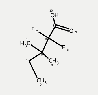 CCC(C)(C)C(F)(F)C(=O)O